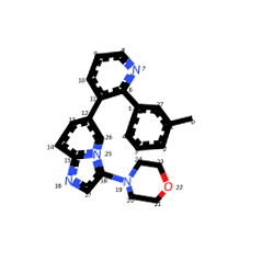 Cc1cccc(-c2ncccc2-c2ccc3ncc(N4CCOCC4)n3c2)c1